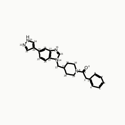 O=C(Cc1ccccc1)N1CCC(Cn2cnc3cc(-c4cn[nH]c4)ccc32)CC1